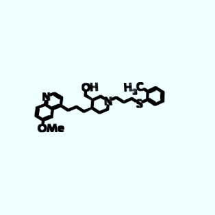 COc1ccc2nccc(CCC[C@@H]3CCN(CCCSc4ccccc4C)C[C@@H]3CO)c2c1